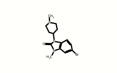 CN1CCC(n2c(=O)n(C)c3cc(Br)ccc32)CC1